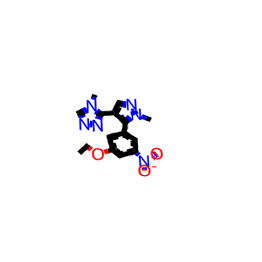 CCOc1cc(-c2c(-c3nncn3C)cnn2C)cc([N+](=O)[O-])c1